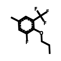 CCCOc1c(F)cc(C)cc1C(F)(F)F